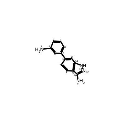 Nc1cccc(-c2ccc3c(N)n[nH]c3c2)c1